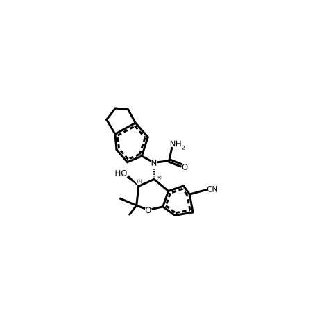 CC1(C)Oc2ccc(C#N)cc2[C@@H](N(C(N)=O)c2ccc3c(c2)CCC3)[C@@H]1O